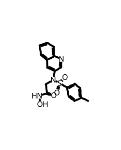 Cc1ccc(S(=O)(=O)N(CC(=O)NO)c2cnc3ccccc3c2)cc1